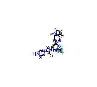 CC1=CCN(C)C12CCN(c1cc(N3C[C@@H](N4CCNCC4)[C@H]3C)nc(C(F)(F)F)n1)CC2